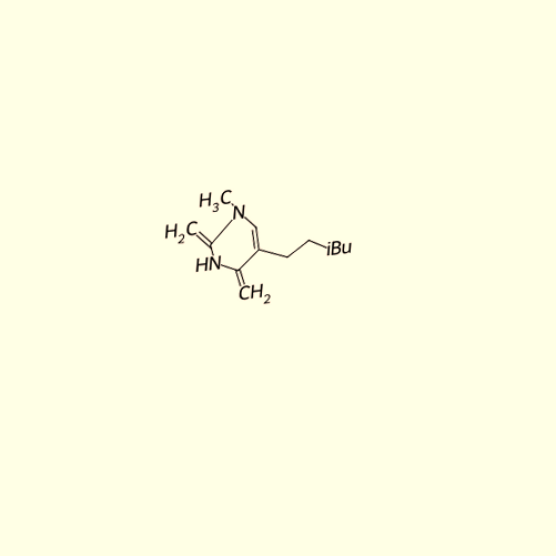 C=C1NC(=C)N(C)C=C1CCC(C)CC